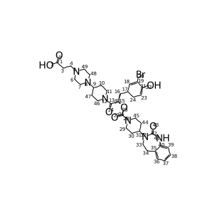 O=C(O)CCN1CCN(C2CCN(C(=O)[C@@H](CC3C=C(Br)C(O)=CC3)OC(=O)N3CCC(N4CCc5ccccc5NC4=O)CC3)CC2)CC1